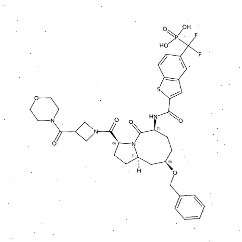 O=C(N[C@H]1CC[C@@H](OCc2ccccc2)C[C@H]2CC[C@@H](C(=O)N3CC(C(=O)N4CCOCC4)C3)N2C1=O)c1cc2cc(C(F)(F)P(=O)(O)O)ccc2s1